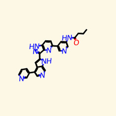 CCCC(=O)Nc1cncc(-c2ccc3[nH]nc(-c4cc5c(-c6cccnc6)cncc5[nH]4)c3n2)c1